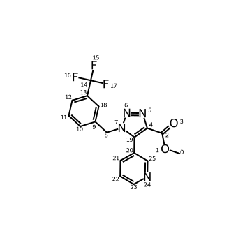 COC(=O)c1nnn(Cc2cccc(C(F)(F)F)c2)c1-c1cccnc1